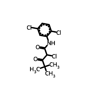 CC(C)(C)C(=O)C(Cl)C(=O)Nc1cc(Cl)ccc1Cl